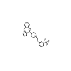 FC(F)(F)c1cccc(CCN2CCC(C3Oc4ccccc4Cn4cccc43)CC2)c1